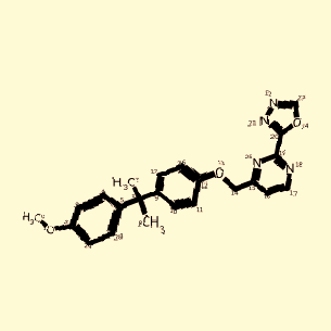 COc1ccc(C(C)(C)c2ccc(OCc3ccnc(-c4nnco4)n3)cc2)cc1